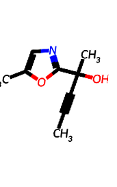 CC#CC(C)(O)c1ncc(C)o1